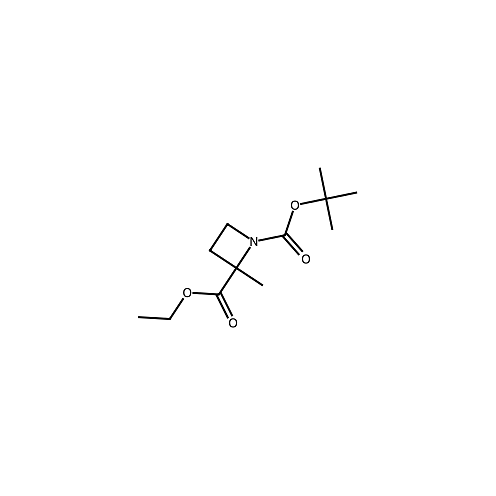 CCOC(=O)C1(C)CCN1C(=O)OC(C)(C)C